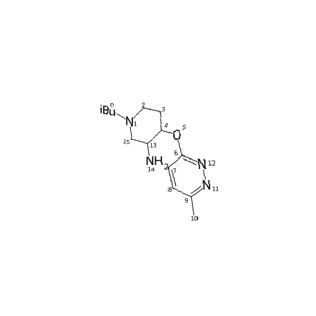 CCC(C)N1CCC(Oc2ccc(C)nn2)C(N)C1